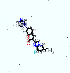 Cc1cc(F)c2nc(-c3cc4ccc(N5CCN6CCC5CC6)cc4oc3=O)cn2c1